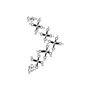 O=S(=O)([O-])[O-].O=S(=O)([O-])[O-].O=S(=O)([O-])[O-].O=S(=O)([O-])[O-].O=S(=O)([O-])[O-].[Cu+2].[Cu+2].[Fe+3].[Fe+3]